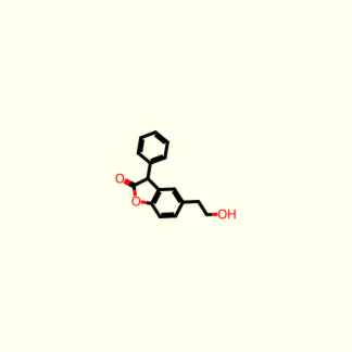 O=C1Oc2ccc(CCO)cc2C1c1ccccc1